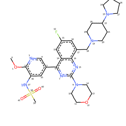 COc1ncc(-c2nc(N3CCOCC3)nc3c(CN4CCC(N5CCCC5)CC4)cc(F)cc23)cc1NS(C)(=O)=O